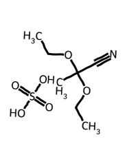 CCOC(C)(C#N)OCC.O=S(=O)(O)O